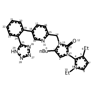 CCCCc1cn(-c2c(CC)ccn2CC)c(=O)n1Cc1ccc(-c2ccccc2-c2nnn[nH]2)cn1